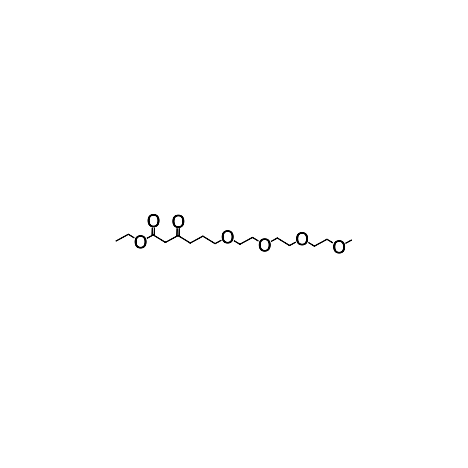 CCOC(=O)CC(=O)CCCOCCOCCOCCOC